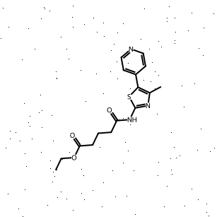 CCOC(=O)CCCC(=O)Nc1nc(C)c(-c2ccncc2)s1